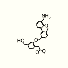 COC(=O)Cc1ccc(CO)cc1OCc1ccc2c(c1)-c1cccc(CN)c1OC2